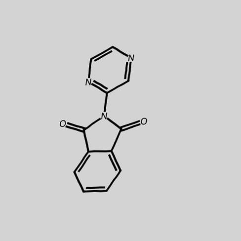 O=C1c2ccccc2C(=O)N1c1cnccn1